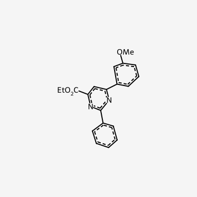 CCOC(=O)c1cc(-c2cccc(OC)c2)nc(-c2ccccc2)n1